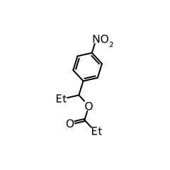 CCC(=O)OC(CC)c1ccc([N+](=O)[O-])cc1